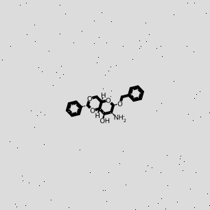 N[C@H]1[C@@H](OCc2ccccc2)O[C@@H]2CO[C@@H](c3ccccc3)O[C@H]2[C@@H]1O